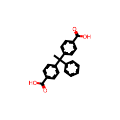 CC(c1ccccc1)(c1ccc(C(=O)O)cc1)c1ccc(C(=O)O)cc1